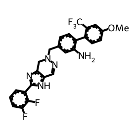 COc1ccc(-c2ccc(CN3Cc4nc(-c5cccc(F)c5F)[nH]c4C=N3)cc2N)c(C(F)(F)F)c1